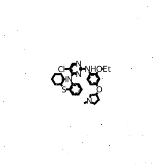 CCOc1cc(OC2CCN(C)C2)ccc1Nc1ncc(Cl)c(Nc2ccccc2SC2CCCCC2)n1